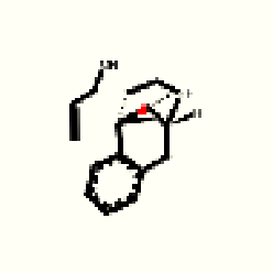 C=CCO.c1ccc2c(c1)C[C@H]1NCC[C@@]23CCCC[C@@H]13